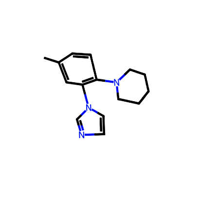 Cc1ccc(N2CCCCC2)c(-n2ccnc2)c1